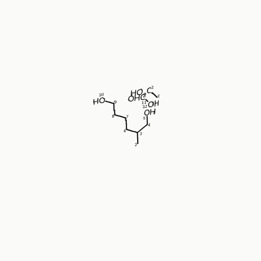 CC(=O)O.CC(CO)CCCCO.O=CO